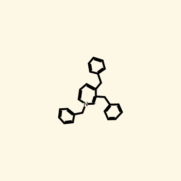 [C]1=C(Cc2ccccc2)C(Cc2ccccc2)=CC=CN1Cc1ccccc1